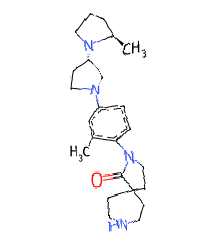 Cc1cc(N2CC[C@H](N3CCC[C@H]3C)C2)ccc1N1CCC2(CCNCC2)C1=O